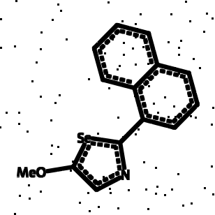 COc1cnc(-c2cccc3ccccc23)[se]1